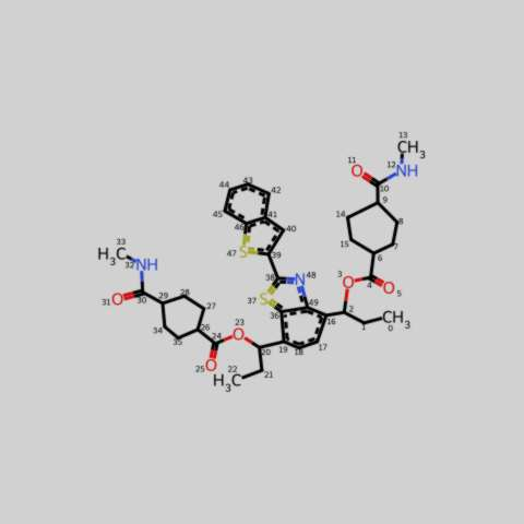 CCC(OC(=O)C1CCC(C(=O)NC)CC1)c1ccc(C(CC)OC(=O)C2CCC(C(=O)NC)CC2)c2sc(-c3cc4ccccc4s3)nc12